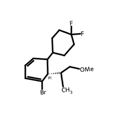 COCC(C)[C@@H]1C(Br)=CC=CC1C1CCC(F)(F)CC1